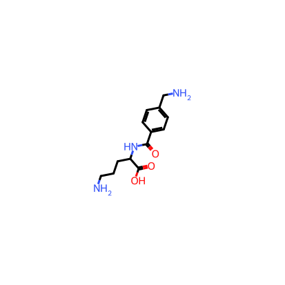 NCCCC(NC(=O)c1ccc(CN)cc1)C(=O)O